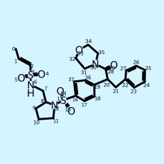 C/C=C/S(=O)(=O)NCC1CCCN1S(=O)(=O)c1ccc(C(Cc2ccccc2)C(=O)N2CCOCC2)cc1